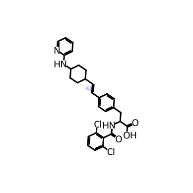 O=C(NC(Cc1ccc(/C=C/C2CCC(Nc3ccccn3)CC2)cc1)C(=O)O)c1c(Cl)cccc1Cl